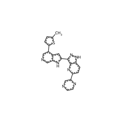 Cc1ccc(-c2cncc3[nH]c(-c4n[nH]c5ccc(-c6cnccn6)nc45)cc23)s1